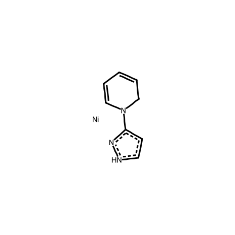 C1=CCN(c2cc[nH]n2)C=C1.[Ni]